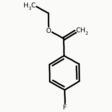 C=C(OCC)c1ccc(F)cc1